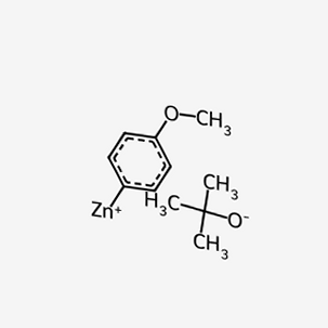 CC(C)(C)[O-].COc1cc[c]([Zn+])cc1